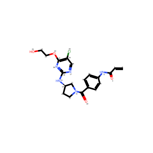 C=CC(=O)Nc1ccc(C(=O)N2CC[C@@H](Nc3ncc(Cl)c(OCCO)n3)C2)cc1